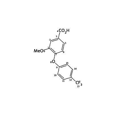 COc1cc(C(=O)O)ccc1Oc1ccc(C(F)(F)F)cc1